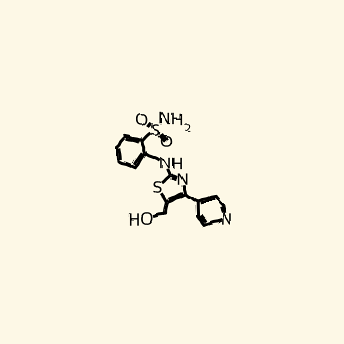 NS(=O)(=O)c1ccccc1Nc1nc(-c2ccncc2)c(CO)s1